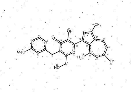 COc1cccc(Cc2c(CO)oc(-c3cc(C)c4ccc(C(C)C)cc(C)c3-4)c(O)c2=O)c1